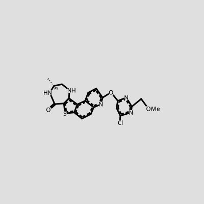 COCc1nc(Cl)cc(Oc2ccc3c(ccc4sc5c(c43)NC[C@@H](C)NC5=O)n2)n1